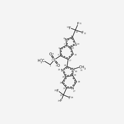 CCS(=O)(=O)c1cc2nc(C(F)(F)F)sc2cc1-c1nc2cc(C(F)(F)F)ncc2n1C